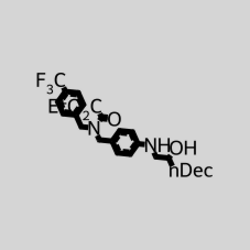 CCCCCCCCCCC(O)CNc1ccc(CN(Cc2ccc(C(F)(F)F)cc2)C(=O)C(=O)OCC)cc1